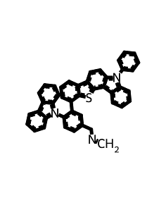 C=NCc1ccc(-n2c3ccccc3c3ccccc32)c(-c2cccc3c2sc2c3ccc3c2c2ccccc2n3-c2ccccc2)c1